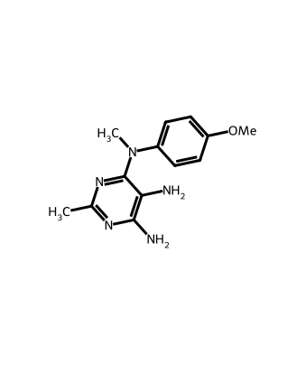 COc1ccc(N(C)c2nc(C)nc(N)c2N)cc1